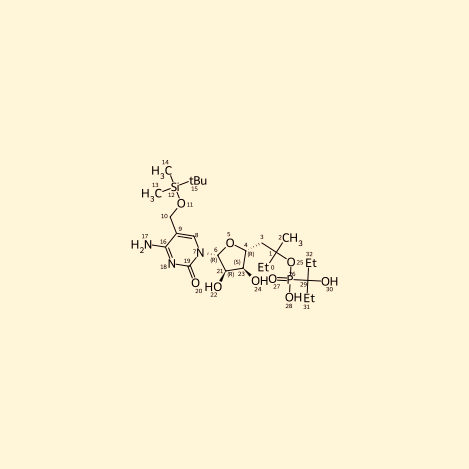 CCC(C)(C[C@H]1O[C@@H](n2cc(CO[Si](C)(C)C(C)(C)C)c(N)nc2=O)[C@H](O)[C@@H]1O)OP(=O)(O)C(O)(CC)CC